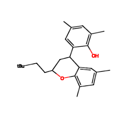 Cc1cc(C)c(O)c(C2CC(CCC(C)(C)C)Oc3c(C)cc(C)cc32)c1